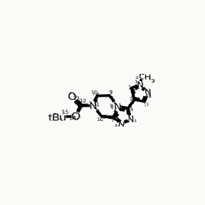 Cn1cc(-c2nnc3n2CCN(C(=O)OC(C)(C)C)C3)cn1